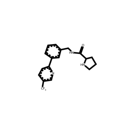 O=C(NCc1cccc(-c2ccc(C(F)(F)F)cn2)c1)C1CCCN1